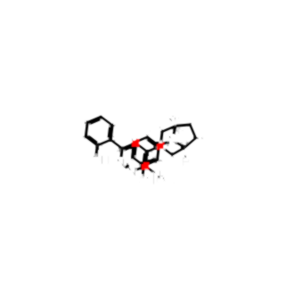 Nc1nnc(-c2ccccc2O)cc1N1C[C@H]2CC[C@@H](C1)N2c1cccc(C=O)c1